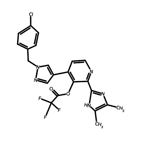 Cc1nc(-c2nccc(-c3cnn(Cc4ccc(Cl)cc4)c3)c2OC(=O)C(F)(F)F)[nH]c1C